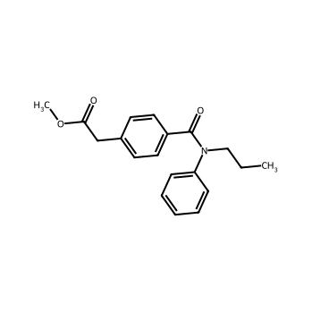 CCCN(C(=O)c1ccc(CC(=O)OC)cc1)c1ccccc1